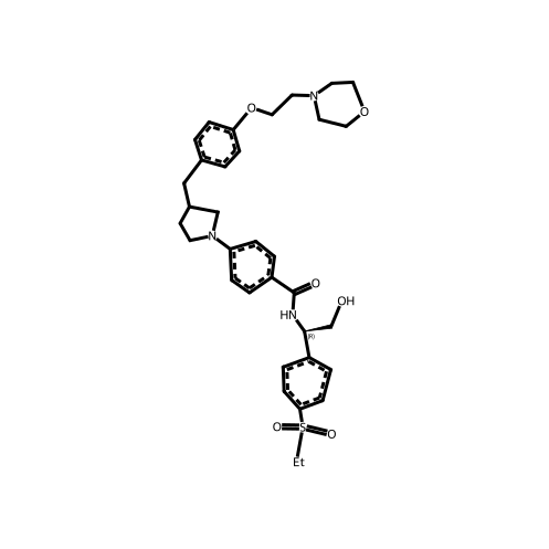 CCS(=O)(=O)c1ccc([C@H](CO)NC(=O)c2ccc(N3CCC(Cc4ccc(OCCN5CCOCC5)cc4)C3)cc2)cc1